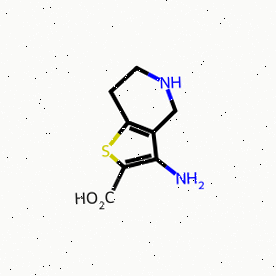 Nc1c(C(=O)O)sc2c1CNCC2